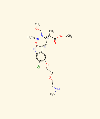 C=NN(COC)C(/C=C1\C(=O)Nc2cc(Cl)c(OCCOCCNC)cc21)=C(\C)C(=O)OCC